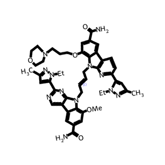 CCn1nc(C)cc1-c1ccc2c3cc(C(N)=O)cc(OCCCN4CCOCC4)c3n(C/C=C/Cn3c4nc(-c5cc(C)nn5CC)ncc4c4cc(C(N)=O)cc(OC)c43)c2n1